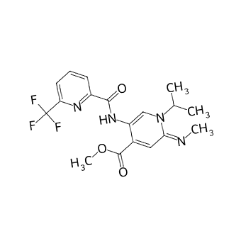 C/N=c1/cc(C(=O)OC)c(NC(=O)c2cccc(C(F)(F)F)n2)cn1C(C)C